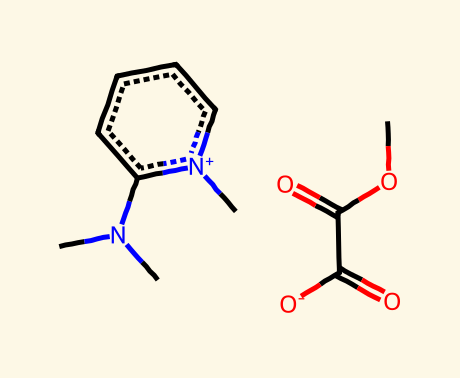 CN(C)c1cccc[n+]1C.COC(=O)C(=O)[O-]